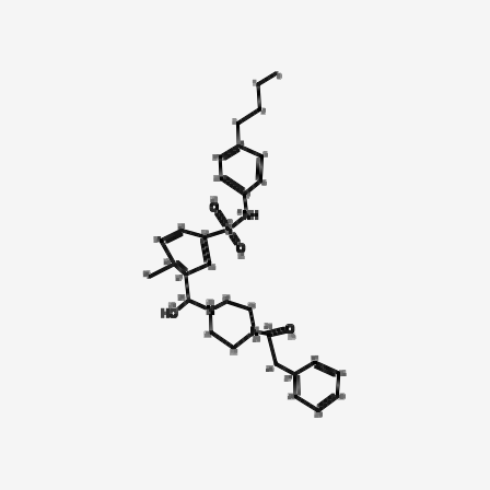 CCCCc1ccc(NS(=O)(=O)c2ccc(C)c(C(O)N3CCN(C(=O)Cc4ccccc4)CC3)c2)cc1